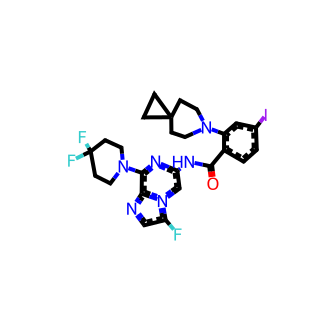 O=C(Nc1cn2c(F)cnc2c(N2CCC(F)(F)CC2)n1)c1ccc(I)cc1N1CCC2(CC1)CC2